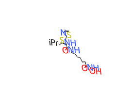 CC(C)CC1=C(C(=O)NCCCCCCC(=O)NO)NC(c2nccs2)S1